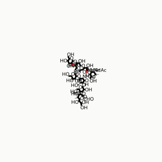 CC(=O)NC1C(O)[C@H](O[C@@H]2OC(CO)[C@H](O)[C@H](O[C@]3(OC=O)C[C@@H](O)[C@@H](C)C([C@@H](O)[C@H](O)CO)O3)C2O)[C@H](CO)O[C@H]1OC1[C@@H](OCC2O[C@@H](O[C@@H]3C(CO)O[C@@H](O[C@@H]4C(CO)O[C@@H](C)C(NC(C)=O)[C@H]4O)C(NC(C)=O)[C@H]3O)C(O)[C@@H](O[C@H]3OC(CO)[C@@H](O)C(O)C3O)[C@@H]2O)OC(CO)[C@@H](O)[C@@H]1O